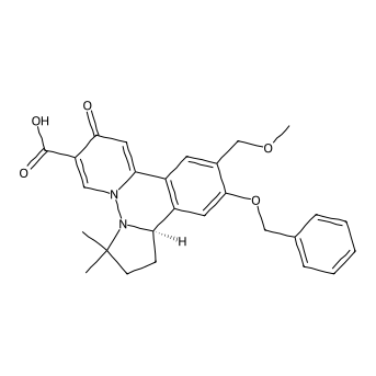 COCc1cc2c(cc1OCc1ccccc1)[C@H]1CCC(C)(C)N1n1cc(C(=O)O)c(=O)cc1-2